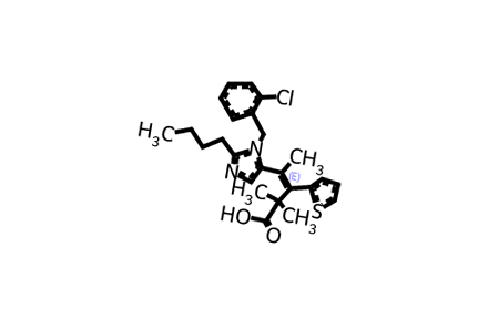 CCCCc1ncc(/C(C)=C(/c2cccs2)C(C)(C)C(=O)O)n1Cc1ccccc1Cl